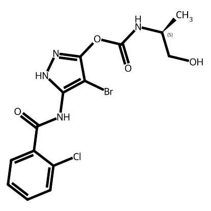 C[C@@H](CO)NC(=O)Oc1n[nH]c(NC(=O)c2ccccc2Cl)c1Br